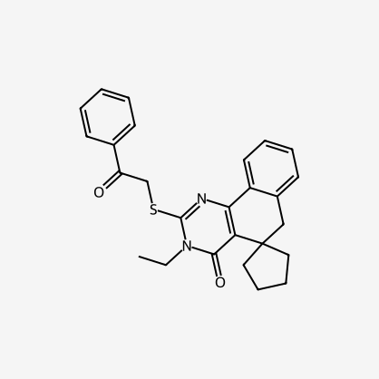 CCn1c(SCC(=O)c2ccccc2)nc2c(c1=O)C1(CCCC1)Cc1ccccc1-2